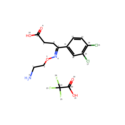 NCCON=C(CCC(=O)O)c1ccc(Cl)c(Cl)c1.O=C(O)C(F)(F)F